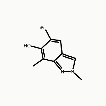 Cc1c(O)c(C(C)C)cc2cn(C)nc12